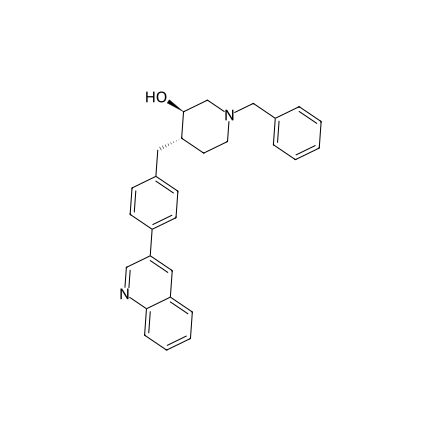 O[C@H]1CN(Cc2ccccc2)CC[C@@H]1Cc1ccc(-c2cnc3ccccc3c2)cc1